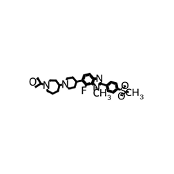 Cn1c(-c2ccc(S(C)(=O)=O)cc2)nc2ccc(C3CCN(C4CCCN(C5COC5)CC4)CC3)c(F)c21